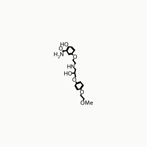 COCCOc1ccc(OCC(O)CNCCOc2ccc(O)c(C(N)=O)c2)cc1